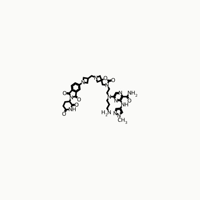 Cn1cc(Nc2nc(N(CCCN)CCN3CC4(CN(CC5CN(c6ccc7c(c6)C(=O)N(C6CCC(=O)NC6=O)C7=O)C5)C4)OC3=O)cnc2C(N)=O)cn1